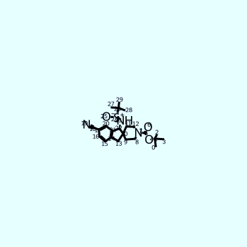 CC(C)(C)OC(=O)N1CCC2(CC1)Cc1ccc(C#N)cc1[C@H]2N[S+]([O-])C(C)(C)C